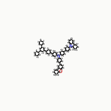 c1ccc(-c2cc(-c3ccccc3)cc(-c3ccc(-c4ccc(N(c5ccc(-c6ccc(-n7c8ccccc8c8ccccc87)cc6)cc5)c5ccc(-c6ccc7oc8ccccc8c7c6)cc5)cc4)cc3)c2)cc1